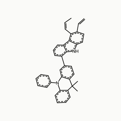 C=Cc1ccc2[nH]c3c(-c4ccc5c(c4)N(c4ccccc4)c4ccccc4C5(C)C)cccc3c2c1/C=C\C